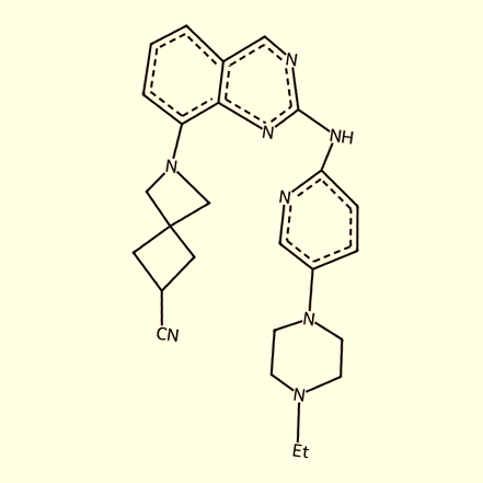 CCN1CCN(c2ccc(Nc3ncc4cccc(N5CC6(CC(C#N)C6)C5)c4n3)nc2)CC1